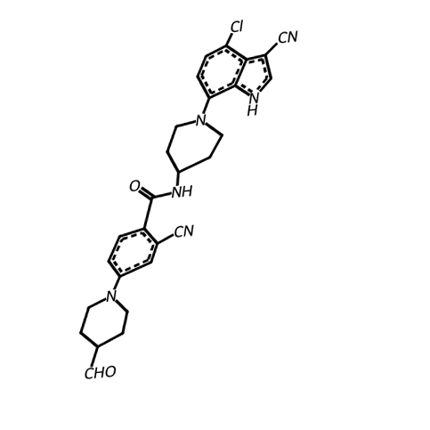 N#Cc1cc(N2CCC(C=O)CC2)ccc1C(=O)NC1CCN(c2ccc(Cl)c3c(C#N)c[nH]c23)CC1